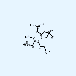 CC(CC(=O)O)CC(C)(C)C.OCCCC(CO)CO